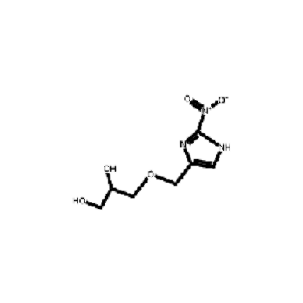 O=[N+]([O-])c1nc(COCC(O)CO)c[nH]1